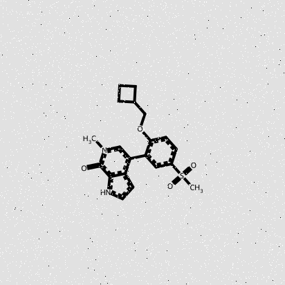 Cn1cc(-c2cc(S(C)(=O)=O)ccc2OCC2CCC2)c2cc[nH]c2c1=O